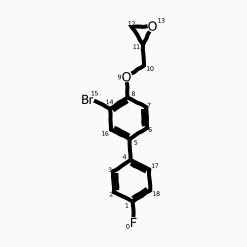 Fc1ccc(-c2ccc(OCC3CO3)c(Br)c2)cc1